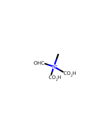 C[N+]([C]=O)(C(=O)O)C(=O)O